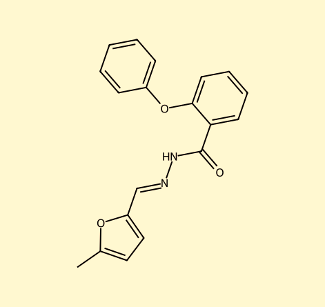 Cc1ccc(C=NNC(=O)c2ccccc2Oc2ccccc2)o1